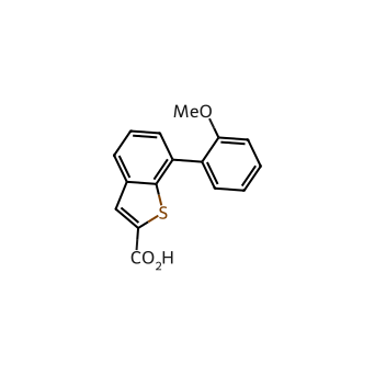 COc1ccccc1-c1cccc2cc(C(=O)O)sc12